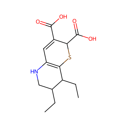 CCC1CNC2=C(SC(C(=O)O)C(C(=O)O)=C2)C1CC